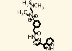 CCN(CCN(C)C)S(=O)(=O)c1cccc(CC(=O)Nc2nc(-c3c[nH]c4ncccc34)cs2)c1